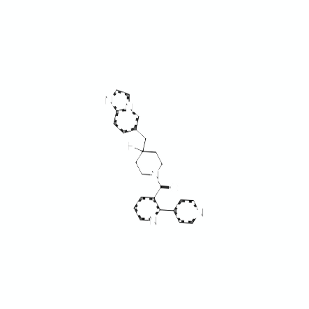 O=C(c1cccnc1-c1ccncc1)N1CCC(F)(Cc2ccc3nccn3c2)CC1